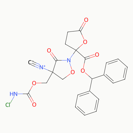 [C-]#[N+]C1(COC(=O)NCl)CON(C2(C(=O)OC(c3ccccc3)c3ccccc3)CCC(=O)O2)C1=O